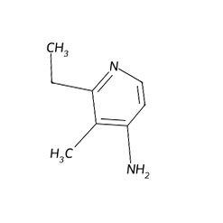 CCc1nccc(N)c1C